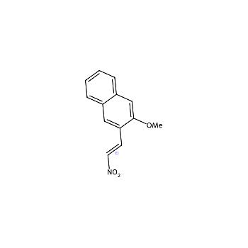 COc1cc2ccccc2cc1/C=C/[N+](=O)[O-]